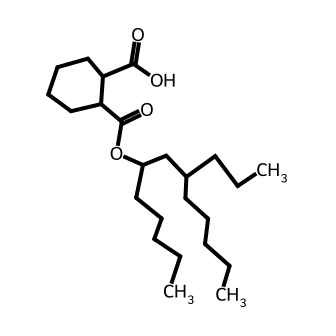 CCCCCC(CCC)CC(CCCCC)OC(=O)C1CCCCC1C(=O)O